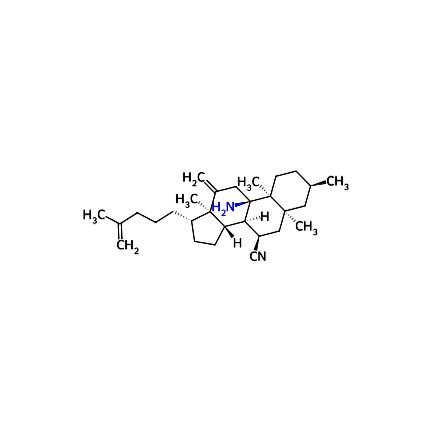 C=C(C)CCC[C@H]1CC[C@H]2[C@@H]3[C@H](C#N)C[C@]4(C)C[C@H](C)CC[C@]4(C)[C@@]3(N)CC(=C)[C@]12C